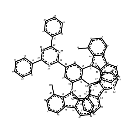 Cc1cccc2c3cccc(C)c3n(-c3cc(-c4nc(-c5ccccc5)nc(-c5ccccc5)n4)cc(-n4c5c(C)cccc5c5cccc(C)c54)c3-n3c4c(C)cccc4c4nccc(C)c43)c12